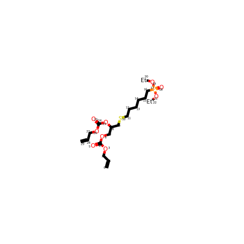 C=CCOC(=O)OCC(CSCCCCCCP(=O)(OCC)OCC)OC(=O)OCC=C